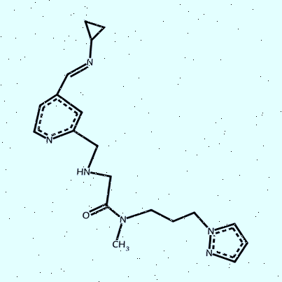 CN(CCCn1cccn1)C(=O)CNCc1cc(C=NC2CC2)ccn1